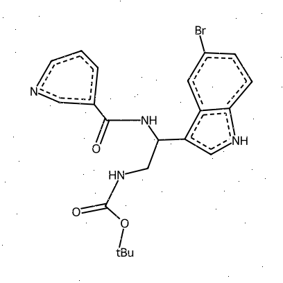 CC(C)(C)OC(=O)NCC(NC(=O)c1cccnc1)c1c[nH]c2ccc(Br)cc12